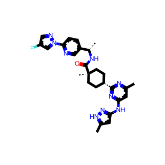 Cc1cc(Nc2cc(C)[nH]n2)nc([C@H]2CC[C@](C)(C(=O)N[C@@H](C)c3ccc(-n4cc(F)cn4)nc3)CC2)n1